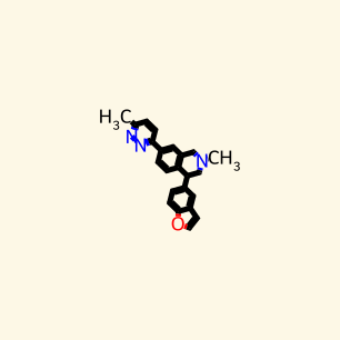 Cc1ccc(-c2ccc3c(c2)CN(C)CC3c2ccc3occc3c2)nn1